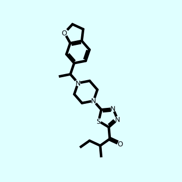 CCC(C)C(=O)c1nnc(N2CCN(C(C)c3ccc4c(c3)OCC4)CC2)s1